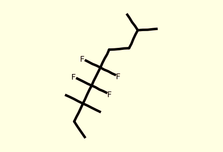 CCC(C)(C)C(F)(F)C(F)(F)CCC(C)C